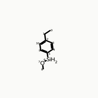 CCc1ccc([SiH2]OC)cc1